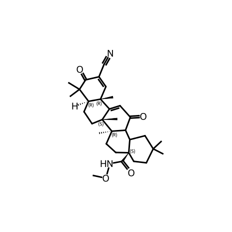 CONC(=O)[C@]12CCC(C)(C)CC1C1C(=O)C=C3[C@@]4(C)C=C(C#N)C(=O)C(C)(C)[C@@H]4CC[C@@]3(C)[C@]1(C)CC2